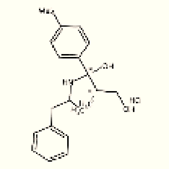 CSc1ccc([C@](O)(NC(C)Cc2ccccc2)[C@@H](C)CO)cc1.Cl